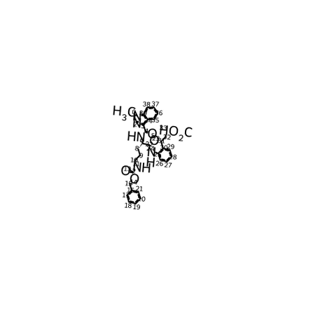 Cn1nc(C(=O)N[C@@H](CCCNC(=O)OCc2ccccc2)C(=O)Nc2ccccc2CCC(=O)O)c2ccccc21